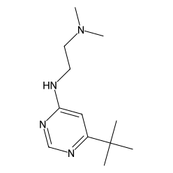 CN(C)CCNc1cc(C(C)(C)C)ncn1